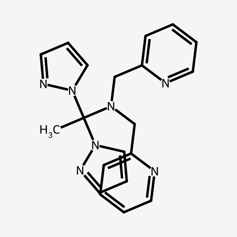 CC(N(Cc1ccccn1)Cc1ccccn1)(n1cccn1)n1cccn1